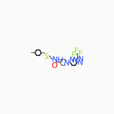 Cc1ccc(CSCCNC(=O)C2CCN(c3ccc4nnc(C(F)(F)F)n4n3)CC2)cc1